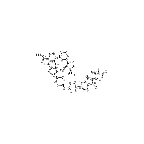 CN1CCN(C2CCCN(c3nnc(C(N)=O)c(Nc4ccc(N5CCN(CC6CCN(c7ccc8c(c7)C(=O)N(C7CCC(=O)NC7=O)C8=O)CC6)CC5)c(F)c4F)n3)C2)C1=O